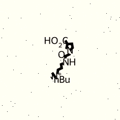 CCCC[N+](C)(C)CCCCNC(=O)CN1CCC(C(=O)O)C1